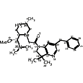 CO[C@H](C1CN[C@H](C)CN1CC(=O)N1CC(C)(C)c2ncc(Cc3ccccc3)cc21)N(C)C